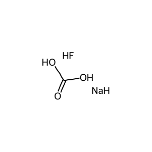 F.O=C(O)O.[NaH]